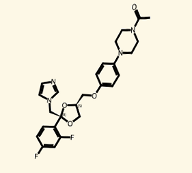 CC(=O)N1CCN(c2ccc(OC[C@H]3CO[C@](Cn4ccnc4)(c4ccc(F)cc4F)O3)cc2)CC1